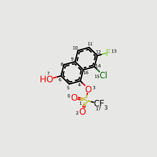 O=S(=O)(Oc1cc(O)cc2ccc(F)c(Cl)c12)C(F)(F)F